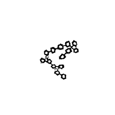 c1ccc(-c2ccc(C3(c4cccc(-c5ccc(-c6ccc(-c7cccc(-n8c9ccccc9c9cc(-c%10ccc%11c(c%10)c%10ccccc%10n%11-c%10cccc(-c%11ccccc%11)c%10)ccc98)c7)cc6)cc5)c4)c4ccccc4-c4ccccc43)cc2)cc1